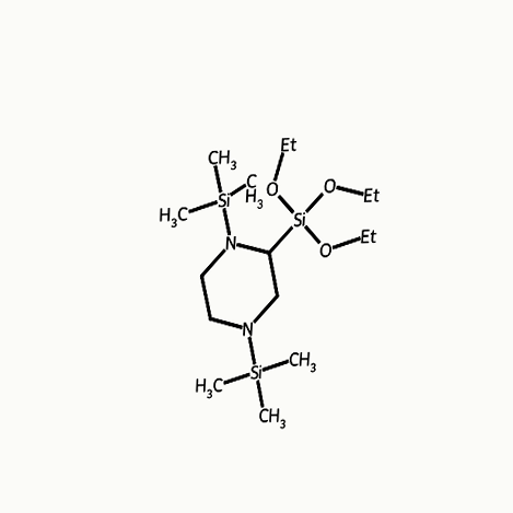 CCO[Si](OCC)(OCC)C1CN([Si](C)(C)C)CCN1[Si](C)(C)C